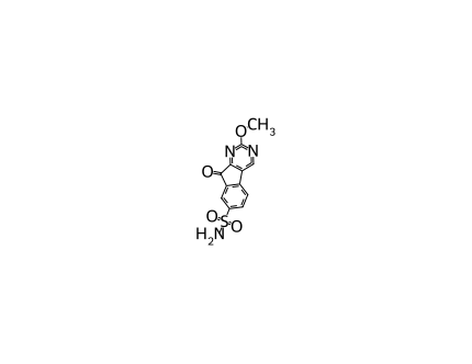 COc1ncc2c(n1)C(=O)c1cc(S(N)(=O)=O)ccc1-2